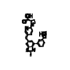 Cc1nc2c(-c3cccc(Cl)c3)cc(Cc3ccc(N4CC[C@@H]4C(=O)O)nc3)cc2s1.Cl